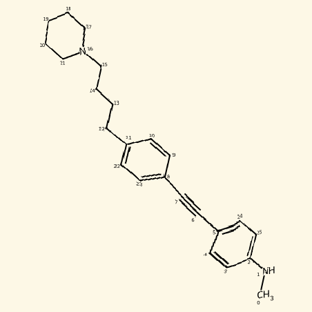 CNc1ccc(C#Cc2ccc(CCCCN3CCCCC3)cc2)cc1